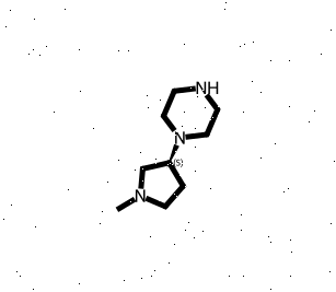 CN1CC[C@H](N2CCNCC2)C1